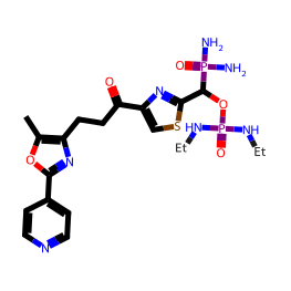 CCNP(=O)(NCC)OC(c1nc(C(=O)CCc2nc(-c3ccncc3)oc2C)cs1)P(N)(N)=O